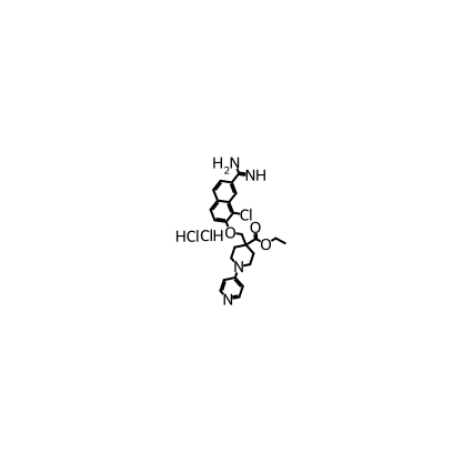 CCOC(=O)C1(COc2ccc3ccc(C(=N)N)cc3c2Cl)CCN(c2ccncc2)CC1.Cl.Cl